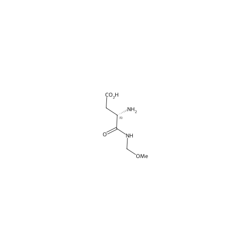 COCNC(=O)[C@@H](N)CC(=O)O